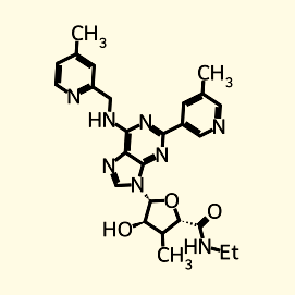 CCNC(=O)[C@H]1O[C@@H](n2cnc3c(NCc4cc(C)ccn4)nc(-c4cncc(C)c4)nc32)[C@H](O)C1C